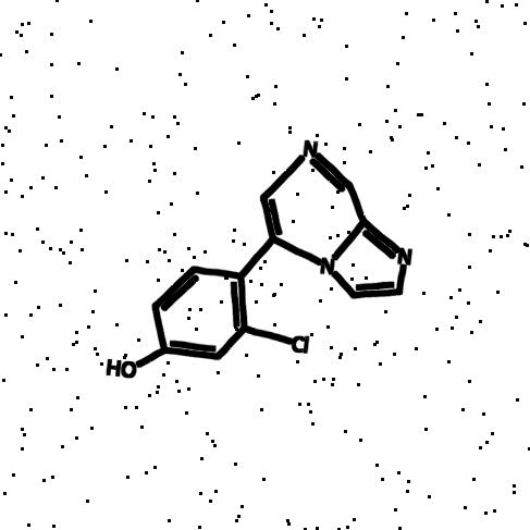 Oc1ccc(-c2cncc3nccn23)c(Cl)c1